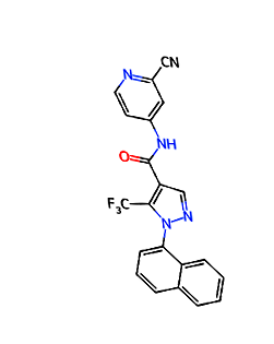 N#Cc1cc(NC(=O)c2cnn(-c3cccc4ccccc34)c2C(F)(F)F)ccn1